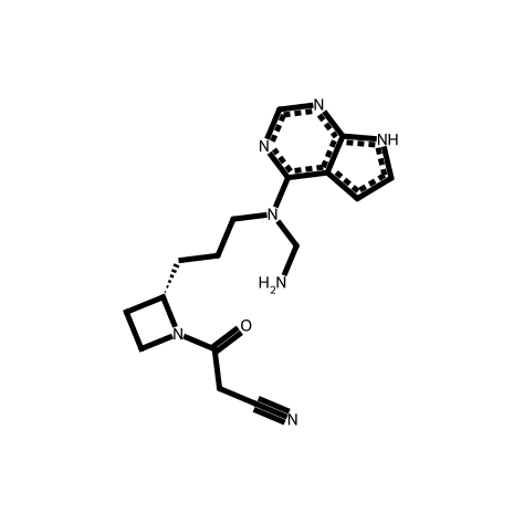 N#CCC(=O)N1CC[C@@H]1CCCN(CN)c1ncnc2[nH]ccc12